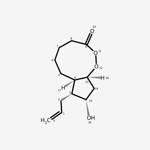 C=CC[C@@H]1[C@H]2CCCCC(=O)OO[C@H]2C[C@@H]1O